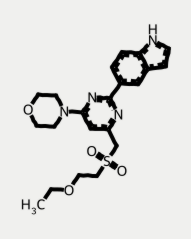 CCOCCS(=O)(=O)Cc1cc(N2CCOCC2)nc(-c2ccc3[nH]ccc3c2)n1